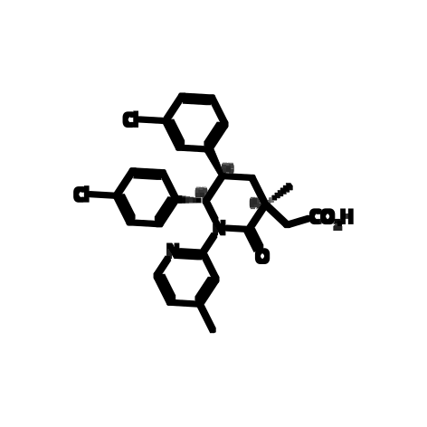 Cc1ccnc(N2C(=O)[C@](C)(CC(=O)O)C[C@H](c3cccc(Cl)c3)[C@H]2c2ccc(Cl)cc2)c1